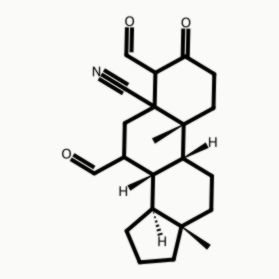 C[C@@]12CCC[C@H]1[C@@H]1C(C=O)CC3(C#N)C(C=O)C(=O)CC[C@]3(C)[C@@H]1CC2